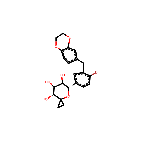 OC1C(O)[C@H](O)C2(CC2)O[C@H]1c1ccc(Br)c(Cc2ccc3c(c2)OCCO3)c1